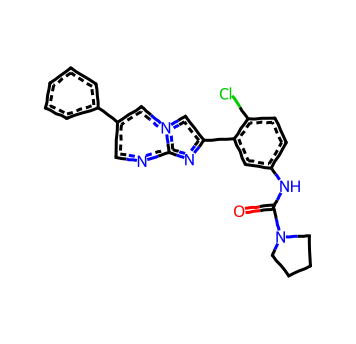 O=C(Nc1ccc(Cl)c(-c2cn3cc(-c4ccccc4)cnc3n2)c1)N1CCCC1